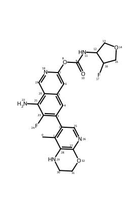 Cc1c(-c2cc3cc(OC(=O)NC4COCC4F)ncc3c(N)c2F)cnc2c1NCCO2